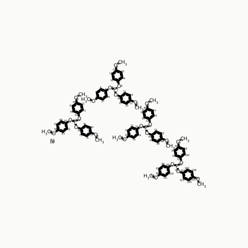 COc1ccc(OP(Oc2ccc(OC)cc2)Oc2ccc(OC)cc2)cc1.COc1ccc(OP(Oc2ccc(OC)cc2)Oc2ccc(OC)cc2)cc1.COc1ccc(OP(Oc2ccc(OC)cc2)Oc2ccc(OC)cc2)cc1.COc1ccc(OP(Oc2ccc(OC)cc2)Oc2ccc(OC)cc2)cc1.[Ni]